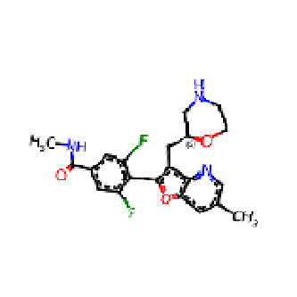 CNC(=O)c1cc(F)c(-c2oc3cc(C)cnc3c2C[C@H]2CNCCO2)c(F)c1